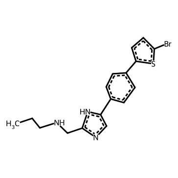 CCCNCc1ncc(-c2ccc(-c3ccc(Br)s3)cc2)[nH]1